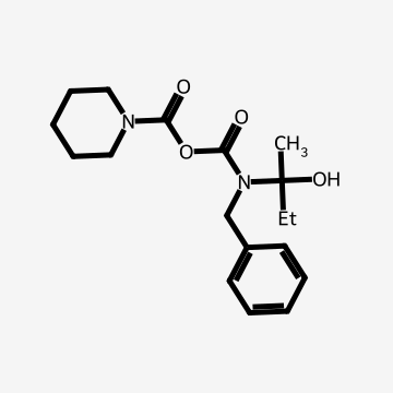 CCC(C)(O)N(Cc1ccccc1)C(=O)OC(=O)N1CCCCC1